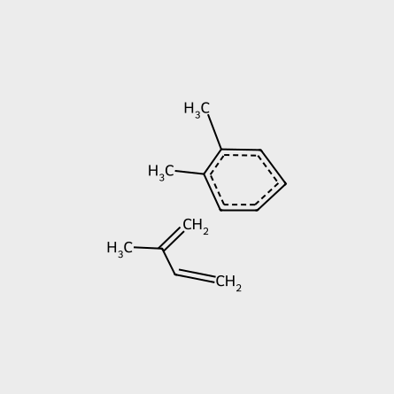 C=CC(=C)C.Cc1ccccc1C